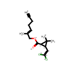 C#CCCC=C(C)COC(=O)C1C(C=C(Cl)Cl)C1(C)C